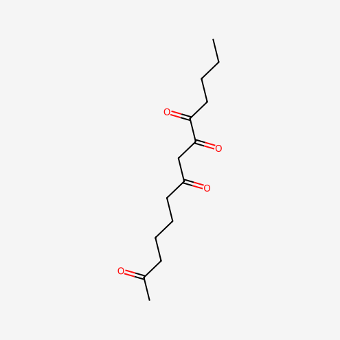 CCCCC(=O)C(=O)CC(=O)CCCCC(C)=O